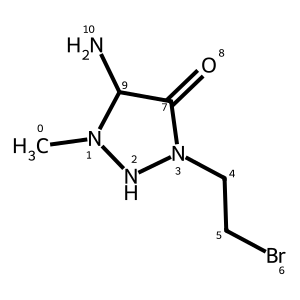 CN1NN(CCBr)C(=O)C1N